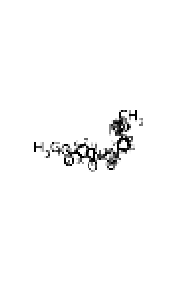 CCOC(=O)c1ccc2c(c1)C(=O)N(CCN(C=O)c1cccc(-c3ncc(C)o3)c1)C2